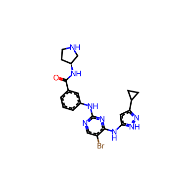 O=C(N[C@H]1CCNC1)c1cccc(Nc2ncc(Br)c(Nc3cc(C4CC4)n[nH]3)n2)c1